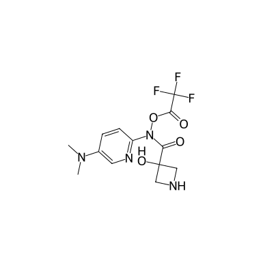 CN(C)c1ccc(N(OC(=O)C(F)(F)F)C(=O)C2(O)CNC2)nc1